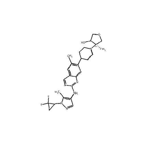 Cc1cc2cnc(Nc3cnn(C4CC4(F)F)c3C)nc2cc1C1CCN([C@]2(C)COCC2O)CC1